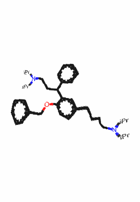 CC(C)N(CCCCc1ccc(OCc2ccccc2)c(C(CCN(C(C)C)C(C)C)c2ccccc2)c1)C(C)C